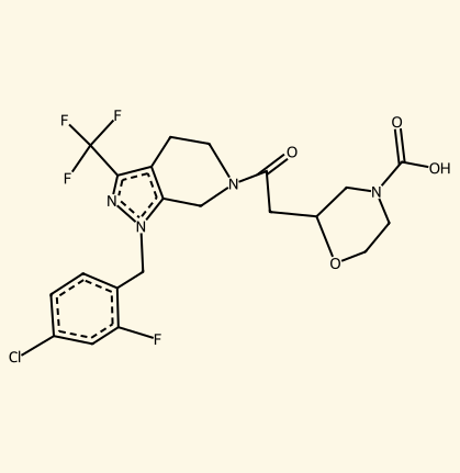 O=C(O)N1CCOC(CC(=O)N2CCc3c(C(F)(F)F)nn(Cc4ccc(Cl)cc4F)c3C2)C1